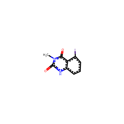 Cn1c(=O)[nH]c2cccc(I)c2c1=O